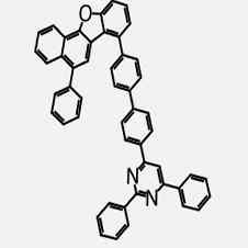 c1ccc(-c2cc(-c3ccc(-c4ccc(-c5cccc6oc7c8ccccc8c(-c8ccccc8)cc7c56)cc4)cc3)nc(-c3ccccc3)n2)cc1